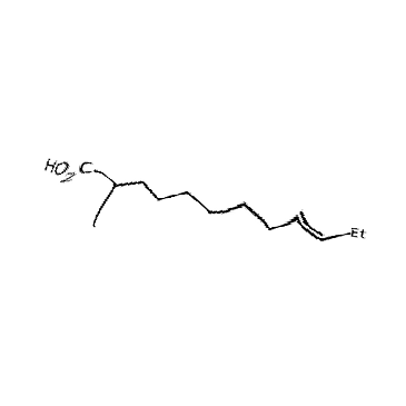 CCC=CCCCCCCC(C)C(=O)O